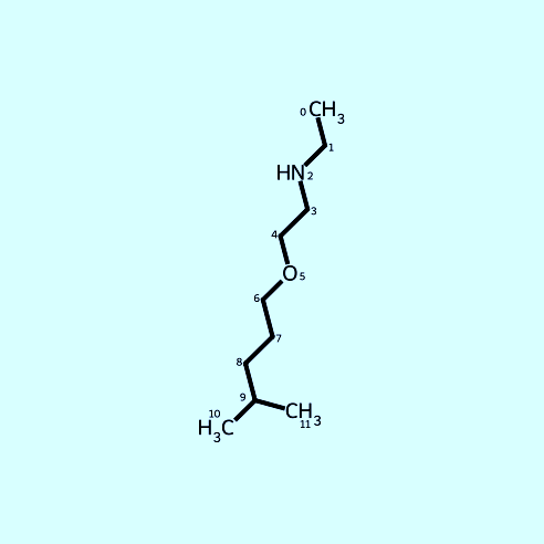 CCNCCOCCCC(C)C